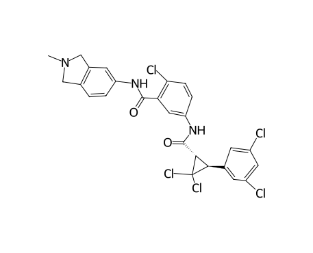 CN1Cc2ccc(NC(=O)c3cc(NC(=O)[C@@H]4[C@@H](c5cc(Cl)cc(Cl)c5)C4(Cl)Cl)ccc3Cl)cc2C1